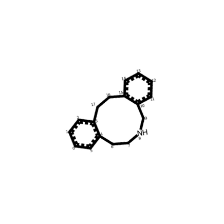 c1ccc2c(c1)CCNCc1ccccc1CC2